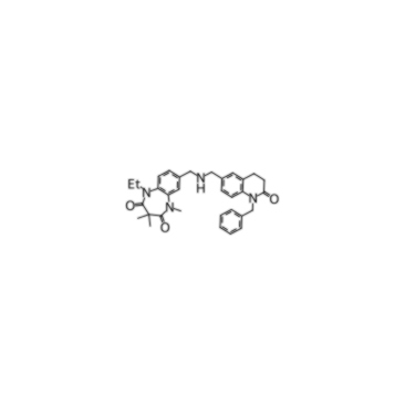 CCN1C(=O)C(C)(C)C(=O)N(C)c2cc(CNCc3ccc4c(c3)CCC(=O)N4Cc3ccccc3)ccc21